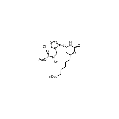 CCCCCCCCCCCCCCCC1CCNC(=O)O1.CC[n+]1cscc1CN(C(C)=O)C(=O)OC.[Cl-]